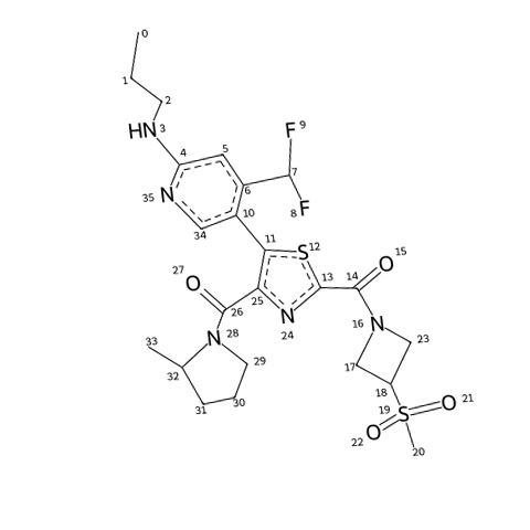 CCCNc1cc(C(F)F)c(-c2sc(C(=O)N3CC(S(C)(=O)=O)C3)nc2C(=O)N2CCCC2C)cn1